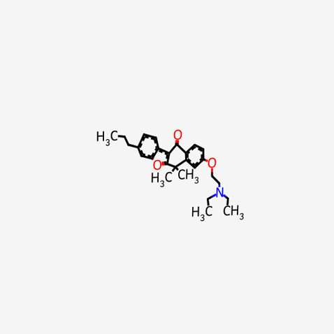 CCCc1ccc2c3c(oc2c1)C(C)(C)c1cc(OCCN(CC)CC)ccc1C3=O